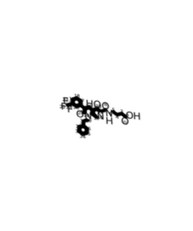 O=C(O)CCCNC(=O)c1ncc2c(cc(-c3cccc(C(F)(F)F)c3)c(=O)n2CCc2ccccc2)c1O